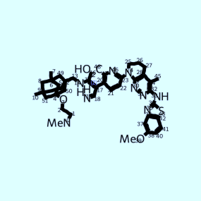 CNCCOC12CC3(C)CC(C)(CC(CN/C(C)=C(\C=N)c4ccc(N5CCCc6c5nnc(Nc5nc7cc(OC)ccc7s5)c6C)nc4C(=O)O)(C3)C1)C2